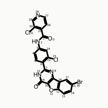 O=C(Nc1ccc(-c2nc3c(oc4ccc(Br)cc43)c(=O)[nH]2)c(Cl)c1)c1ccncc1Cl